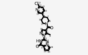 Cc1c(C(=O)N2CCC(c3ccc(Cl)nc3)CC2)cnn1-c1nn2cccc2c(=O)[nH]1